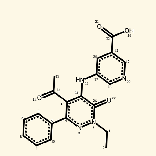 CCn1nc(-c2ccccc2)c(C(C)=O)c(Nc2cncc(C(=O)O)c2)c1=O